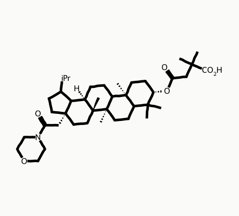 CC(C)C1CC[C@]2(CC(=O)N3CCOCC3)CC[C@]3(C)[C@H](CCC4[C@@]5(C)CC[C@H](OC(=O)CC(C)(C)C(=O)O)C(C)(C)C5CC[C@]43C)C12